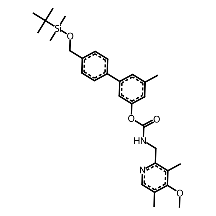 COc1c(C)cnc(CNC(=O)Oc2cc(C)cc(-c3ccc(CO[Si](C)(C)C(C)(C)C)cc3)c2)c1C